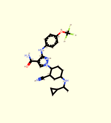 CC(NC1CCC(n2cc(C(N)=O)c(Nc3ccc(OC(F)(F)F)cc3)n2)C(C#N)C1)C1CC1